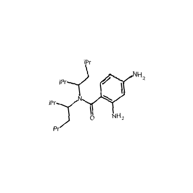 CC(C)CC(C(C)C)N(C(=O)c1ccc(N)cc1N)C(CC(C)C)C(C)C